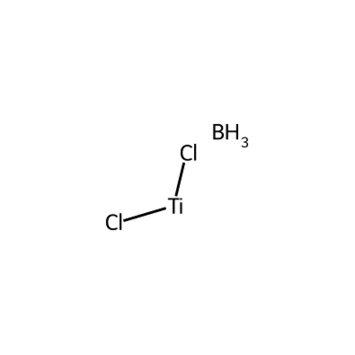 B.[Cl][Ti][Cl]